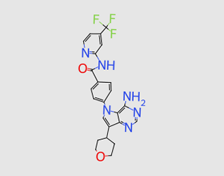 Nc1ncnc2c(C3CCOCC3)cn(-c3ccc(C(=O)Nc4cc(C(F)(F)F)ccn4)cc3)c12